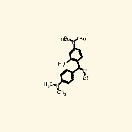 CCCCN(CCCC)c1ccc(C(OCC)c2ccc(N(C)C)cc2)c(C)c1